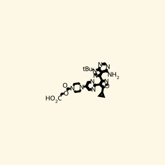 CC(C)(C)n1nc(-c2noc(C3CC3)c2-c2ncc(N3CCN(C(=O)OCC(=O)O)CC3)cn2)c2c(N)ncnc21